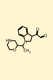 CC(C1CNCCO1)N1CC(C(=O)C=O)c2ccccc21